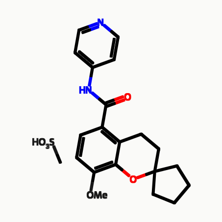 COc1ccc(C(=O)Nc2ccncc2)c2c1OC1(CCCC1)CC2.CS(=O)(=O)O